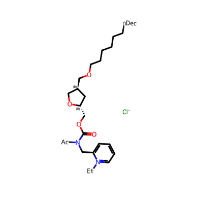 CCCCCCCCCCCCCCCCOC[C@@H]1CO[C@@H](COC(=O)N(Cc2cccc[n+]2CC)C(C)=O)C1.[Cl-]